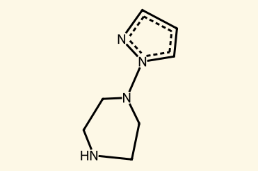 c1cnn(N2CCNCC2)c1